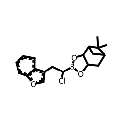 CC1(C)C2CC3OB(C(Cl)Cc4coc5ccccc45)OC3C1C2